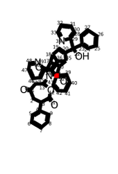 O=C1CC(c2ccccc2)C(=O)OC(N2C(=O)C3C4C=C(C(O)(c5ccccc5)c5ccccn5)C(C4=C(c4ccccc4)c4ccccn4)C3C2=O)C1